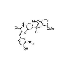 COc1cccc(OC)c1CS(=O)(=O)c1ccc2c(c1)S/C(=C\c1ccc(O)c([N+](=O)[O-])c1)C(=O)N2